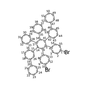 Brc1ccc(-c2c(-c3ccc(Br)cc3)c(-c3cccc(-c4ccccc4)c3)c(-c3ccccc3)c(-c3ccccc3)c2-c2cccc(-c3ccccc3)c2)cc1